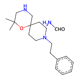 CC1(C)CNCC2(CCN(CCc3ccccc3)CC2)O1.NC=O